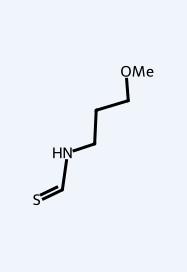 COCCCNC=S